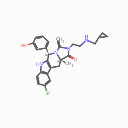 C=C1N(CCNCC2CC2)C(=O)[C@]2(C)Cc3c([nH]c4ccc(Br)cc34)[C@@H](c3cccc(O)c3)N12